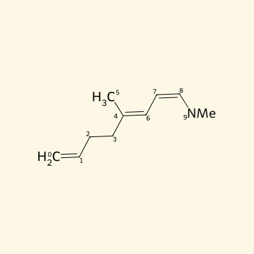 C=CCC/C(C)=C/C=C\NC